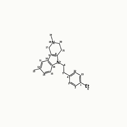 CCc1ccc(CCn2c3c(c4cc(C)ccc42)CN(C)CC3)cc1